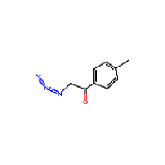 Cc1ccc(C(=O)CN=[N+]=[N-])cc1